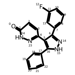 O=c1ccc(-c2c(-c3cccc(F)c3)n[nH]c2-c2ccccc2)n[nH]1